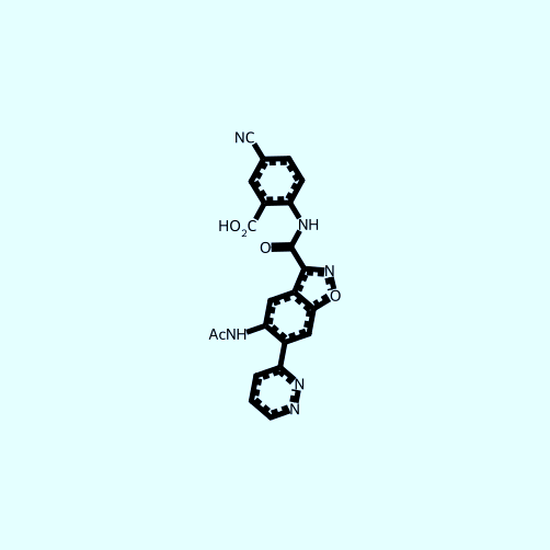 CC(=O)Nc1cc2c(C(=O)Nc3ccc(C#N)cc3C(=O)O)noc2cc1-c1cccnn1